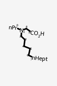 [CH2]CCN(CCCCCCCCCCCC)CC(=O)O